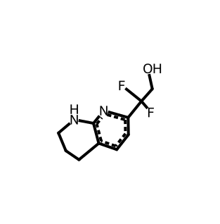 OCC(F)(F)c1ccc2c(n1)NCCC2